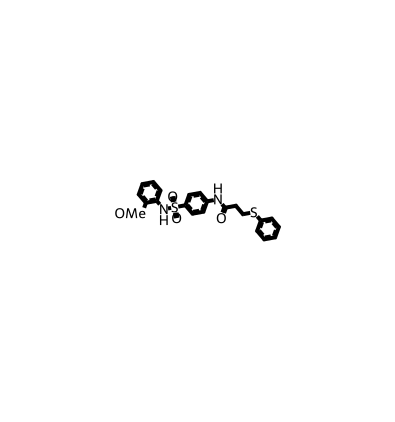 COc1ccccc1NS(=O)(=O)c1ccc(NC(=O)CCSc2ccccc2)cc1